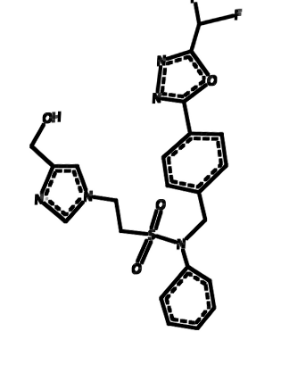 O=S(=O)(CCn1cnc(CO)c1)N(Cc1ccc(-c2nnc(C(F)F)o2)cc1)c1ccccc1